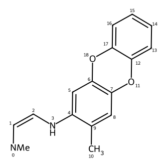 CN/C=C\Nc1cc2c(cc1C)Oc1ccccc1O2